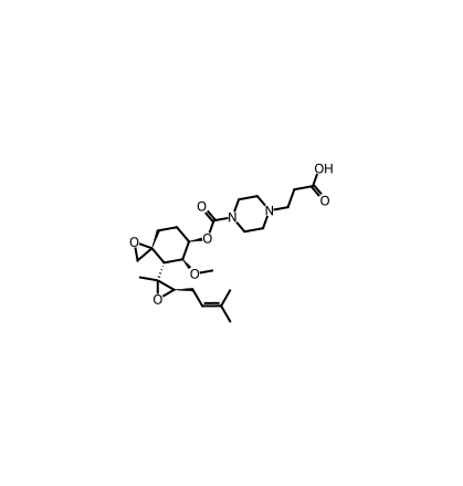 CO[C@H]1[C@H](C2(C)O[C@@H]2CC=C(C)C)[C@]2(CC[C@H]1OC(=O)N1CCN(CCC(=O)O)CC1)CO2